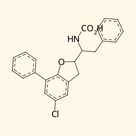 O=C(O)NC(Cc1ccccc1)C1Cc2cc(Cl)cc(-c3ccccc3)c2O1